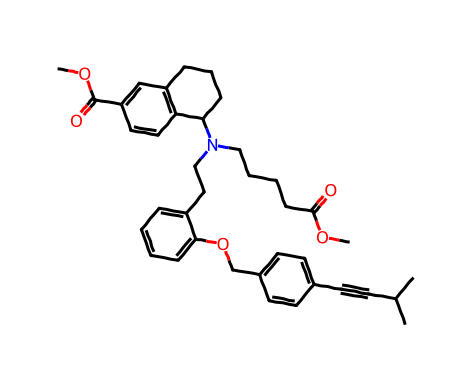 COC(=O)CCCCN(CCc1ccccc1OCc1ccc(C#CC(C)C)cc1)C1CCCc2cc(C(=O)OC)ccc21